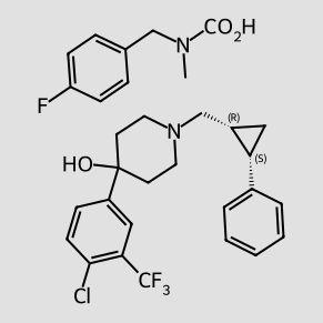 CN(Cc1ccc(F)cc1)C(=O)O.OC1(c2ccc(Cl)c(C(F)(F)F)c2)CCN(C[C@@H]2C[C@@H]2c2ccccc2)CC1